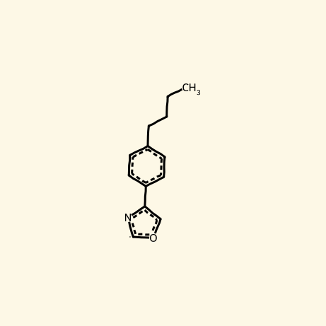 CCCCc1ccc(-c2co[c]n2)cc1